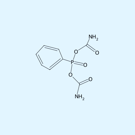 NC(=O)OP(=O)(OC(N)=O)c1ccccc1